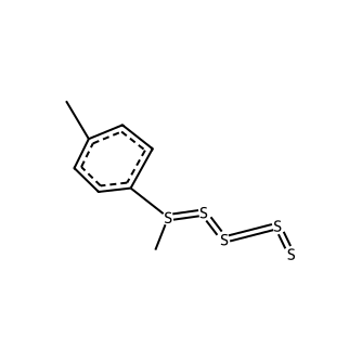 Cc1ccc(S(C)=S=S=S=S)cc1